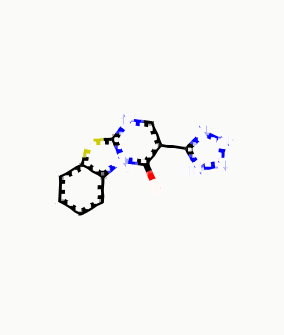 O=c1c(-c2nnn[nH]2)cnc2sc3ccccc3n12